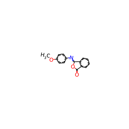 COc1ccc(N=C2OC(=O)c3ccccc32)cc1